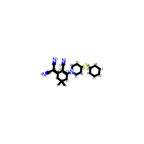 CC1(C)CC(=C(C#N)C#N)C(C#N)=C(N2CCC(SC3CCCCC3)CC2)C1